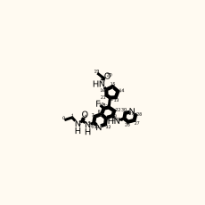 CCNC(=O)Nc1cc2c(F)c(-c3cccc(NC(C)=O)c3)cc(Nc3cccnc3)c2cn1